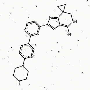 [2H]C1=C2C=C(c3ccnc(-c4ccc(N5CCNCC5)nc4)n3)N=C2C2(CC2)CN1